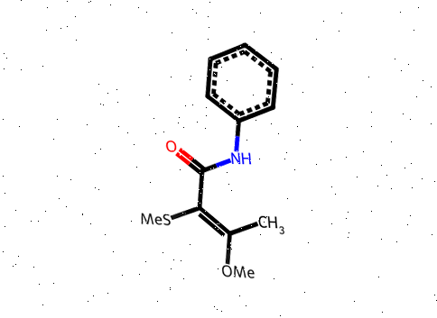 COC(C)=C(SC)C(=O)Nc1ccccc1